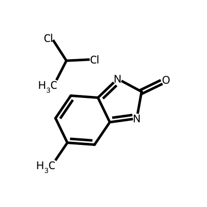 CC(Cl)Cl.Cc1ccc2c(c1)=NC(=O)N=2